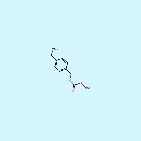 COCc1ccc(CNC(=O)OC(C)(C)C)cc1